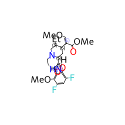 CC[C@@H]1CN2CC[C@@]34OCCO[C@@]3(Nc3c(F)cc(F)c(OC)c34)[C@@H]2C[C@@H]1/C(=C\OC)C(=O)OC